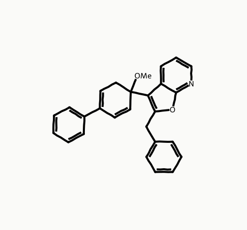 COC1(c2c(Cc3ccccc3)oc3ncccc23)C=CC(c2ccccc2)=CC1